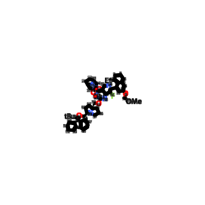 CCc1cccc2cc(OCOC)cc(-c3ncc4c(N5CC6CCC(C5)N6C(=O)OC(C)(C)C)nc(OC[C@]56CCCN5[C@@H](CO[Si](c5ccccc5)(c5ccccc5)C(C)(C)C)CC6)nc4c3F)c12